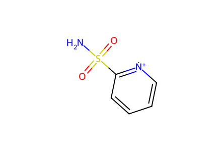 NS(=O)(=O)C1=[N+]C=CC=C1